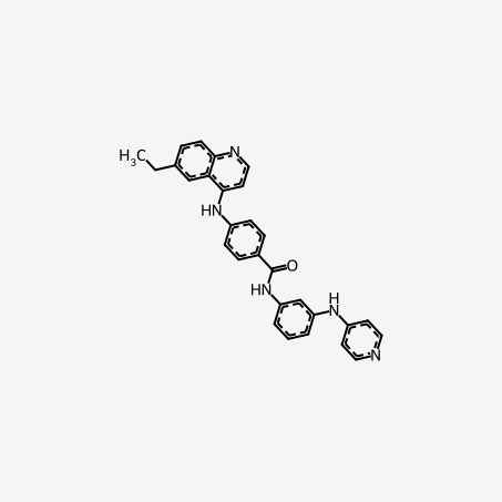 CCc1ccc2nccc(Nc3ccc(C(=O)Nc4cccc(Nc5ccncc5)c4)cc3)c2c1